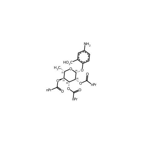 CCCC(=O)O[C@@H]1[C@@H](OC(=O)CCC)[C@H](C)O[C@H](Oc2ccc(N)cc2C(=O)O)[C@@H]1OC(=O)CCC